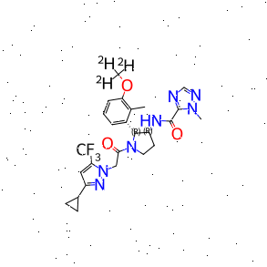 [2H]C([2H])([2H])Oc1cccc([C@@H]2[C@H](NC(=O)c3ncnn3C)CCN2C(=O)Cn2nc(C3CC3)cc2C(F)(F)F)c1C